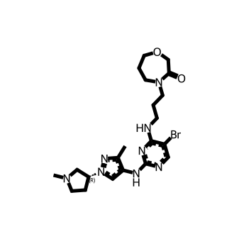 Cc1nn([C@@H]2CCN(C)C2)cc1Nc1ncc(Br)c(NCCCN2CCCOCC2=O)n1